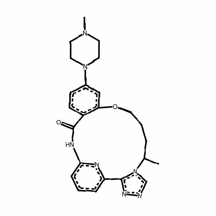 CC1CCCOc2cc(N3CCN(C)CC3)ccc2C(=O)Nc2cccc(n2)-c2nncn21